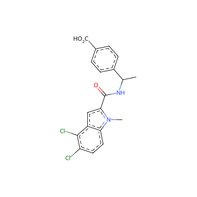 CC(NC(=O)c1cc2c(Cl)c(Cl)ccc2n1C)c1ccc(C(=O)O)cc1